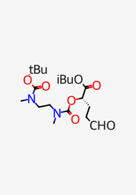 CC(C)COC(=O)[C@H](CCC=O)OC(=O)N(C)CCN(C)C(=O)OC(C)(C)C